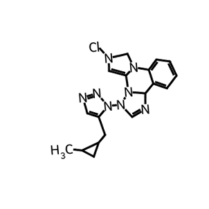 CC1CC1Cc1cnnn1N1C=NC2c3ccccc3N3CN(Cl)C=C3N21